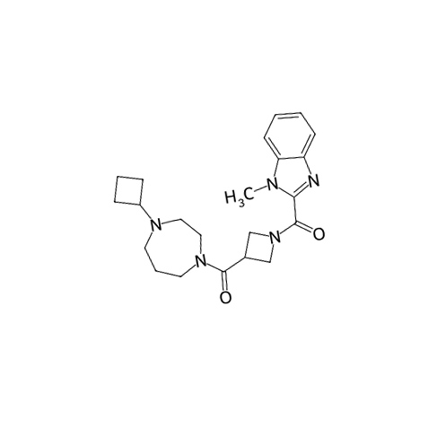 Cn1c(C(=O)N2CC(C(=O)N3CCCN(C4CCC4)CC3)C2)nc2ccccc21